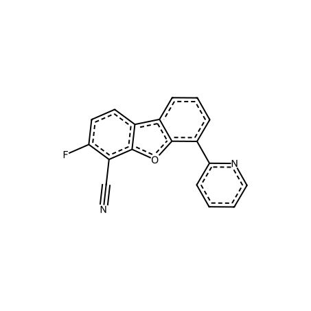 N#Cc1c(F)ccc2c1oc1c(-c3ccccn3)cccc12